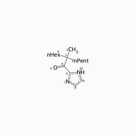 CCCCCCC(C)(CCCCC)C(=O)c1ncc[nH]1